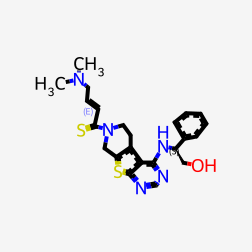 CN(C)C/C=C/C(=S)N1CCc2c(sc3ncnc(N[C@H](CO)c4ccccc4)c23)C1